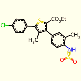 CCOC(=O)c1sc(-c2ccc(Cl)cc2)c(C)c1-c1ccc(N[SH](=O)=O)c(C)c1